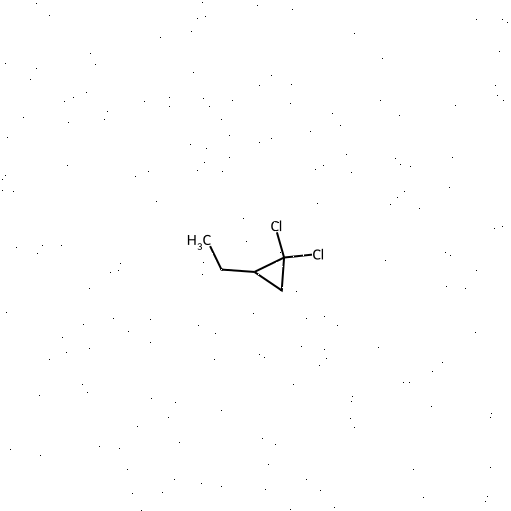 CCC1CC1(Cl)Cl